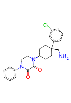 NC[C@]1(c2cccc(Cl)c2)CC[C@H](N2CCN(c3ccccc3)C(=O)C2=O)CC1